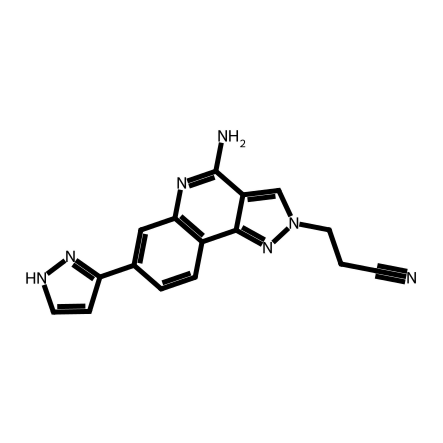 N#CCCn1cc2c(N)nc3cc(-c4cc[nH]n4)ccc3c2n1